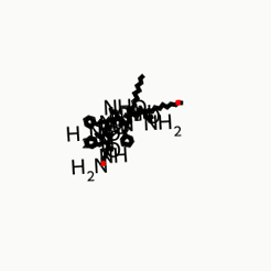 CCCCCCCCCCN(CC(N)=O)C(=O)CN(CCCCCCCCCC)C(=O)CN(CCc1ccccc1)C(=O)CN(CCN)C(=O)CN(CCc1ccccc1)C(=O)CN(CCN)C(=O)CN(CCc1ccccc1)C(=O)CNCCN